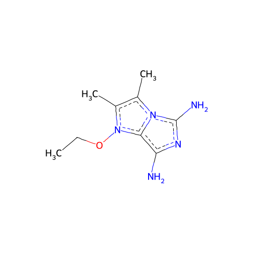 CCOn1c(C)c(C)n2c(N)nc(N)c12